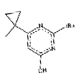 CC(C)(C)c1nc(O)cc(C2(C)CC2)n1